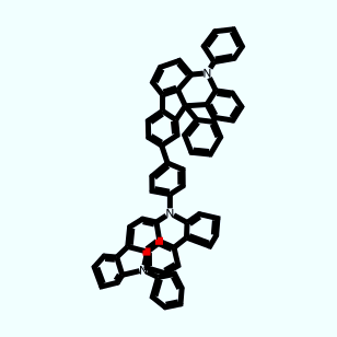 c1ccc(-c2ccccc2N(c2ccc(-c3ccc4c(c3)C3(c5ccccc5)c5ccccc5N(c5ccccc5)c5cccc-4c53)cc2)c2ccc3c4ccccc4n(-c4ccccc4)c3c2)cc1